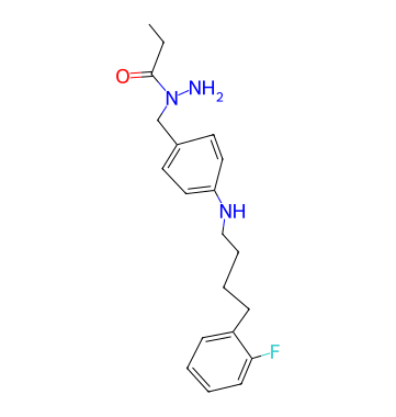 CCC(=O)N(N)Cc1ccc(NCCCCc2ccccc2F)cc1